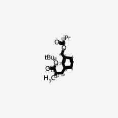 CC(C)C(=O)OCc1cccc(CC(C)C(=O)OC(C)(C)C)c1